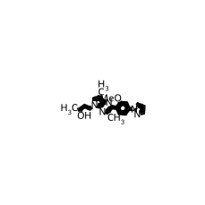 COc1cc(-n2cccn2)ccc1-c1nc2c(C)cn(CC[C@@H](C)O)c2nc1C